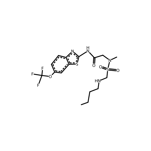 CCCCNCS(=O)(=O)N(C)CC(=O)Nc1nc2ccc(OC(F)(F)F)cc2s1